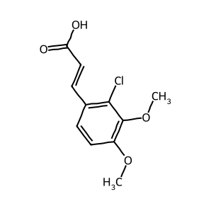 COc1ccc(/C=C/C(=O)O)c(Cl)c1OC